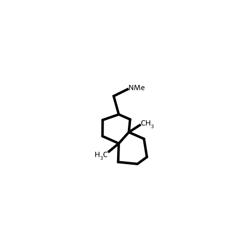 CNCC1CCC2(C)CCCCC2(C)C1